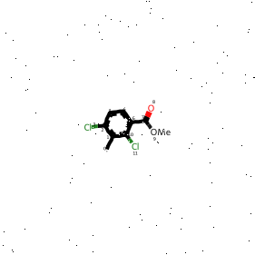 [CH2]c1c(Cl)ccc(C(=O)OC)c1Cl